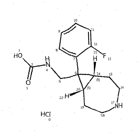 Cl.O=C(O)NCC1(c2ccccc2F)[C@@H]2CCNCC[C@@H]21